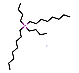 CCCCCCCC[P+](CCCC)(CCCC)CCCCCCCC.[I-]